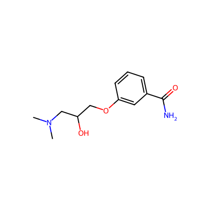 CN(C)CC(O)COc1cccc(C(N)=O)c1